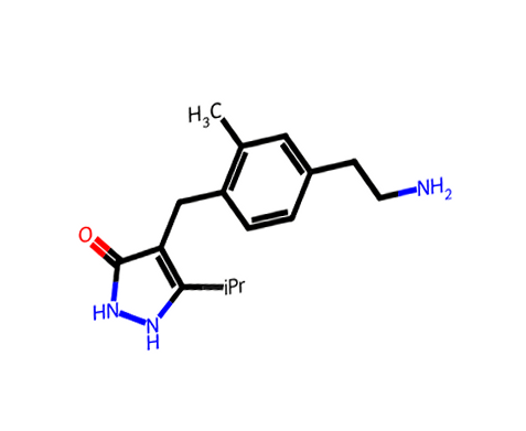 Cc1cc(CCN)ccc1Cc1c(C(C)C)[nH][nH]c1=O